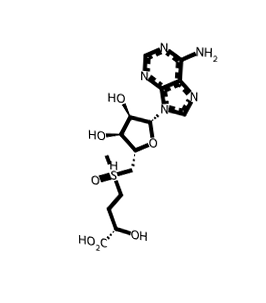 C[SH](=O)(CC[C@H](O)C(=O)O)C[C@H]1O[C@@H](n2cnc3c(N)ncnc32)[C@H](O)[C@@H]1O